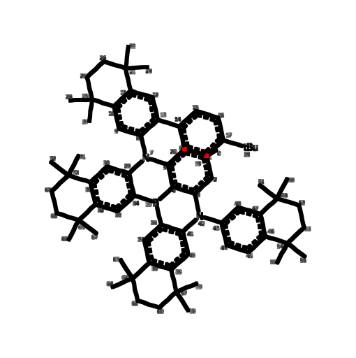 Cc1cc2c3c(c1)N(c1cc4c(cc1-c1ccc(C(C)(C)C)cc1)C(C)(C)CCC4(C)C)c1cc4c(cc1B3c1cc3c(cc1N2c1ccc2c(c1)C(C)(C)CCC2(C)C)C(C)(C)CCC3(C)C)C(C)(C)CCC4(C)C